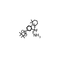 CC1(C)CCCCN1c1ccc(B2OC(C)(C)C(C)(C)O2)cc1C(F)(F)F.N